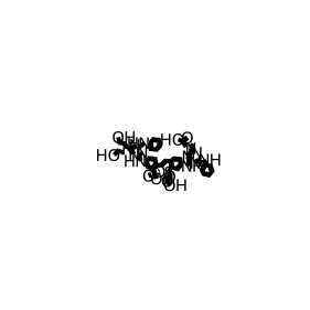 CN(CC(=O)O)c1nc(Nc2ccccc2)nc(Nc2ccc(/C=C/c3ccc(Nc4nc(Nc5ccccc5)nc(N(CCO)CCO)n4)cc3S(=O)(=O)O)c(SOOO)c2)n1